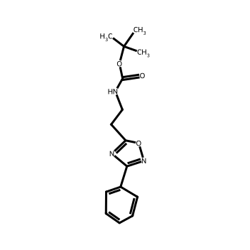 CC(C)(C)OC(=O)NCCc1nc(-c2ccccc2)no1